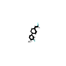 N#Cc1ccc(C2CCC(C=CF)CC2)cc1F